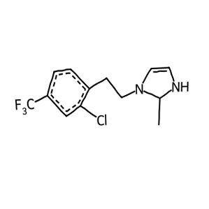 CC1NC=CN1CCc1ccc(C(F)(F)F)cc1Cl